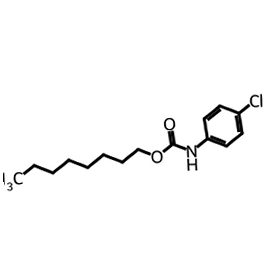 CCCCCCCCOC(=O)Nc1ccc(Cl)cc1